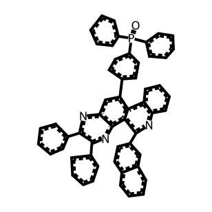 O=P(c1ccccc1)(c1ccccc1)c1ccc(-c2cc3nc(-c4ccccc4)c(-c4ccccc4)nc3c3c(-c4ccc5ccccc5c4)nc4ccccc4c23)cc1